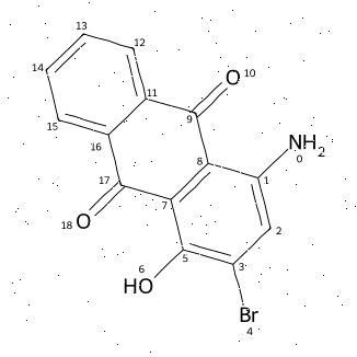 Nc1cc(Br)c(O)c2c1C(=O)c1ccccc1C2=O